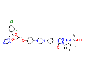 CC(C)C(CO)NC(C)C(C)n1ncn(-c2ccc(N3CCN(c4ccc(OCC5COC(Cn6cncn6)(c6ccc(Cl)cc6Cl)O5)cc4)CC3)cc2)c1=O